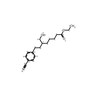 CCOC(=O)CCCCC(CO)CCc1ccc(C#N)cc1